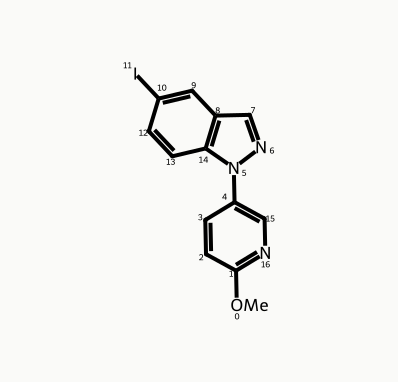 COc1ccc(-n2ncc3cc(I)ccc32)cn1